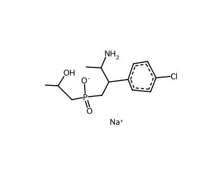 CC(O)CP(=O)([O-])CC(c1ccc(Cl)cc1)C(C)N.[Na+]